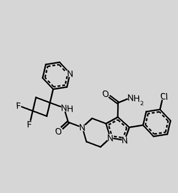 NC(=O)c1c(-c2cccc(Cl)c2)nn2c1CN(C(=O)NC1(c3cccnc3)CC(F)(F)C1)CC2